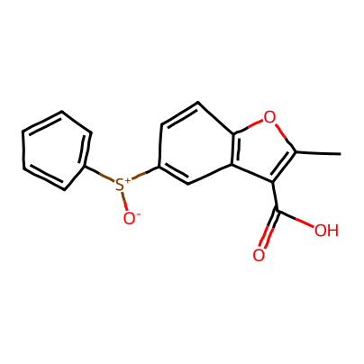 Cc1oc2ccc([S+]([O-])c3ccccc3)cc2c1C(=O)O